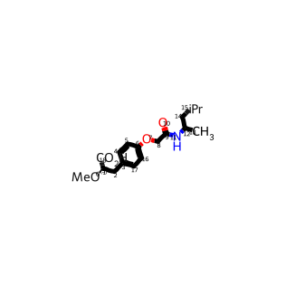 CO[C@@H](Cc1ccc(OCC(=O)NC(C)CC(C)C)cc1)C(=O)O